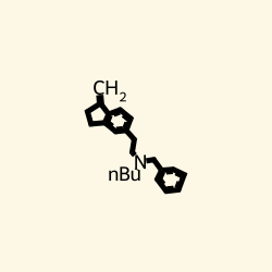 C=C1CCc2cc(CCN(CCCC)Cc3ccccc3)ccc21